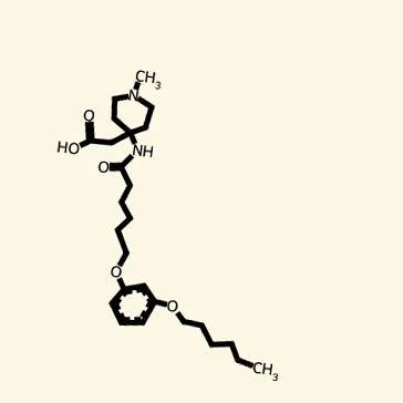 CCCCCCOc1cccc(OCCCCCC(=O)NC2(CC(=O)O)CCN(C)CC2)c1